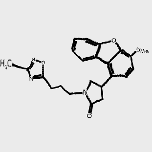 COc1ccc(C2CC(=O)N(CCCc3nc(C)no3)C2)c2c1oc1ccccc12